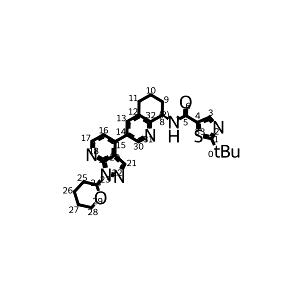 CC(C)(C)c1ncc(C(=O)N[C@@H]2CCCc3cc(-c4ccnc5c4cnn5C4CCCCO4)cnc32)s1